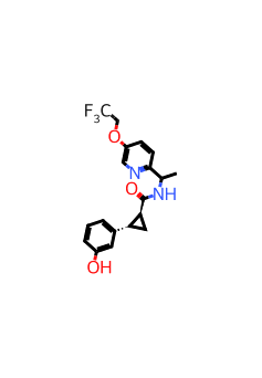 CC(NC(=O)[C@H]1C[C@@H]1c1cccc(O)c1)c1ccc(OCC(F)(F)F)cn1